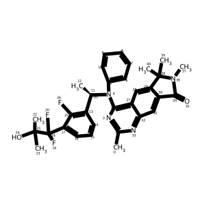 Cc1nc(N(c2ccccc2)[C@H](C)c2cccc(C(F)(F)C(C)(C)O)c2F)c2cc3c(cc2n1)C(=O)N(C)C3(C)C